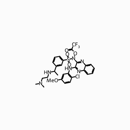 COc1ccc(Cl)c(Nc2nc3ccccc3nc2N(OC(=O)C(F)(F)F)S(=O)(=O)c2cccc(C(C)NCCN(C)C)c2)c1